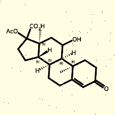 CC(=O)OC1(C(=O)O)CC[C@H]2[C@@H]3CCC4=CC(=O)CC[C@]4(C)[C@@H]3C(O)C[C@@]21C